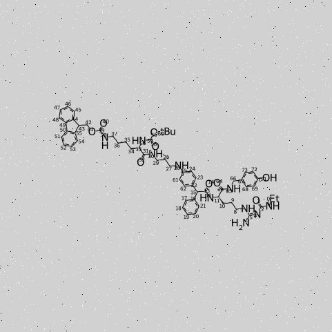 CCNC(=O)/N=C(/N)NCCC[C@@H](NC(=O)C(c1ccccc1)c1ccc(NCCCNC(=O)[C@@H](CCCCNC(=O)OCC2c3ccccc3-c3ccccc32)NC(=O)OC(C)(C)C)cc1)C(=O)NCc1ccc(O)cc1